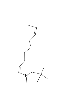 C/C=C\CCCC/C=C\N(C)CC(C)(C)C